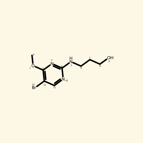 COc1nc(NCCCO)ncc1Br